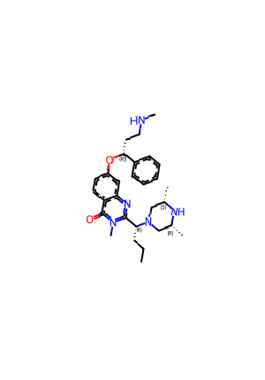 CCC[C@H](c1nc2cc(O[C@H](CCNC)c3ccccc3)ccc2c(=O)n1C)N1C[C@@H](C)N[C@@H](C)C1